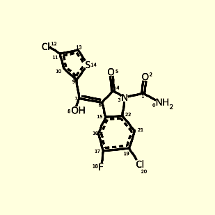 NC(=O)N1C(=O)C(=C(O)c2cc(Cl)cs2)c2cc(F)c(Cl)cc21